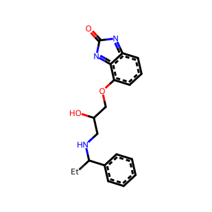 CCC(NCC(O)COc1cccc2c1=NC(=O)N=2)c1ccccc1